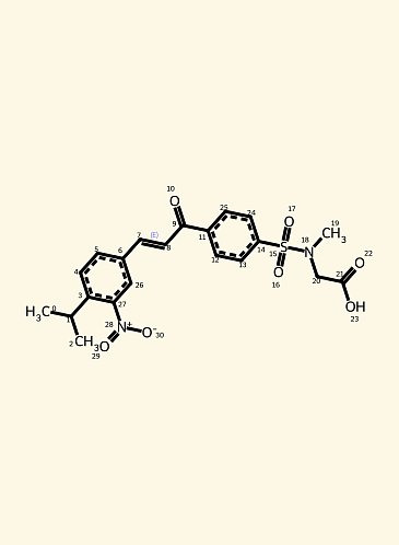 CC(C)c1ccc(/C=C/C(=O)c2ccc(S(=O)(=O)N(C)CC(=O)O)cc2)cc1[N+](=O)[O-]